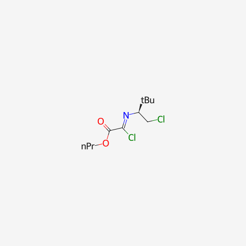 CCCOC(=O)/C(Cl)=N/[C@H](CCl)C(C)(C)C